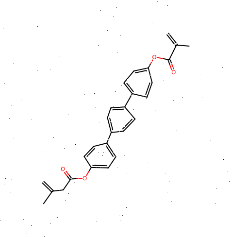 C=C(C)CC(=O)Oc1ccc(-c2ccc(-c3ccc(OC(=O)C(=C)C)cc3)cc2)cc1